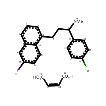 CNC(CCc1cccc2cc(I)ccc12)c1ccc(F)cc1.O=C(O)/C=C\C(=O)O